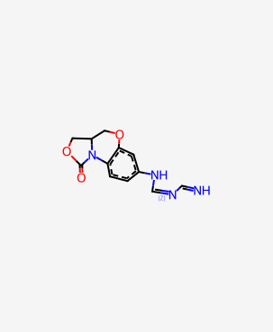 N=C/N=C\Nc1ccc2c(c1)OCC1COC(=O)N21